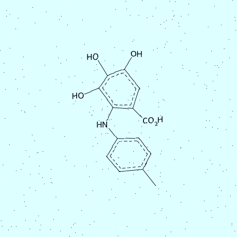 Cc1ccc(Nc2c(C(=O)O)cc(O)c(O)c2O)cc1